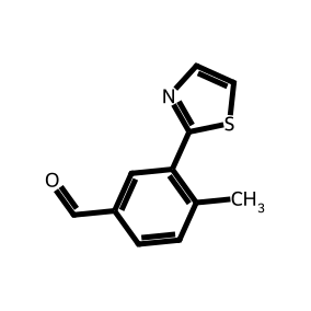 Cc1ccc(C=O)cc1-c1nccs1